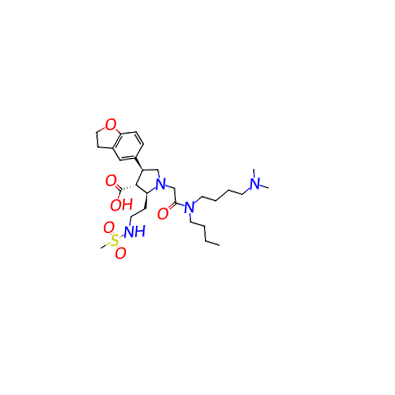 CCCCN(CCCCN(C)C)C(=O)CN1C[C@H](c2ccc3c(c2)CCO3)[C@@H](C(=O)O)[C@@H]1CCNS(C)(=O)=O